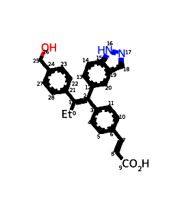 CCC(=C(c1ccc(C=CC(=O)O)cc1)c1ccc2[nH]ncc2c1)c1ccc(CO)cc1